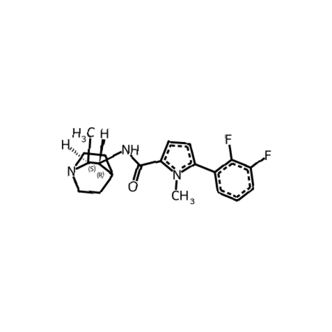 C[C@H]1[C@H](NC(=O)c2ccc(-c3cccc(F)c3F)n2C)C2CCN1CC2